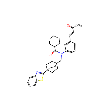 COC(=O)/C=C/c1cccc(N(CC23CCC(c4nc5ccccc5s4)(CC2)CC3)C(=O)C2CCCCC2)c1